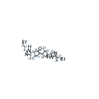 CCC=CCc1nc2c([nH]1)-c1cc3c(cc1CC2)-c1ccc(-c2cnc(C(C)=CCC)[nH]2)cc1CO3